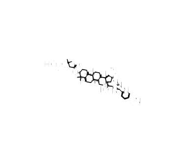 CC(C)C1=C2[C@H]3CC[C@@H]4[C@@]5(C)CC[C@H](OC(=O)CC(C)(C)C(=O)O)C(C)(C)[C@@H]5CC[C@@]4(C)[C@]3(C)CC[C@@]2([C@H](O)c2nnc(-c3ccc(C#N)cn3)n2C)CC1=O